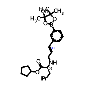 CC(C)C[C@H](NC/C=C/c1cccc(B2OC(C)(C)C(C)(C)O2)c1)C(=O)OC1CCCC1